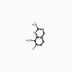 Cc1c(F)ccc2cnc(N)nc12